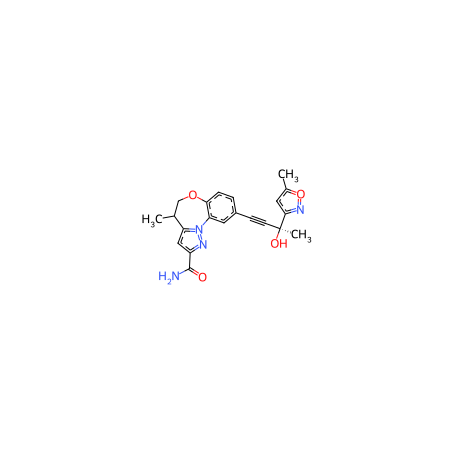 Cc1cc([C@@](C)(O)C#Cc2ccc3c(c2)-n2nc(C(N)=O)cc2C(C)CO3)no1